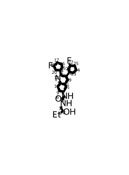 CCC(O)CNC(=O)Nc1ccc2nc(-c3cccc(F)c3)c(-c3cccc(F)c3)cc2c1